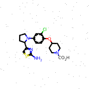 Nc1nc(C2CCCN2c2ccc(OC3CCN(C(=O)O)CC3)c(Cl)c2)cs1